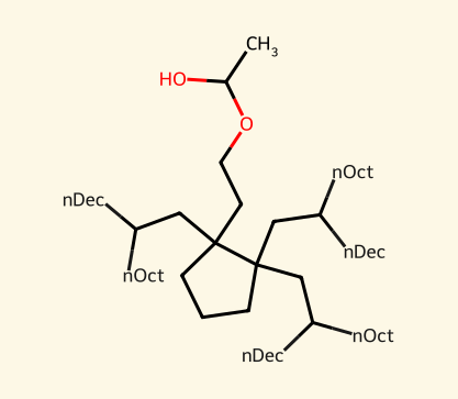 CCCCCCCCCCC(CCCCCCCC)CC1(CCOC(C)O)CCCC1(CC(CCCCCCCC)CCCCCCCCCC)CC(CCCCCCCC)CCCCCCCCCC